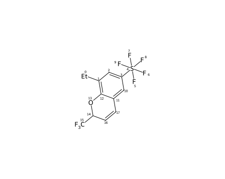 CCc1cc(S(F)(F)(F)(F)F)cc2c1OC(C(F)(F)F)C=C2